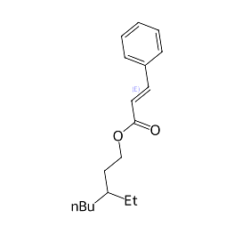 CCCCC(CC)CCOC(=O)/C=C/c1ccccc1